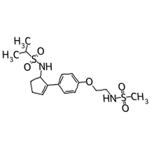 CC(C)S(=O)(=O)NC1CCC=C1c1ccc(OCCNS(C)(=O)=O)cc1